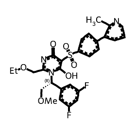 CCOCc1nc(=O)c(S(=O)(=O)c2ccc(-c3cccnc3C)cc2)c(O)n1[C@@H](COC)c1cc(F)cc(F)c1